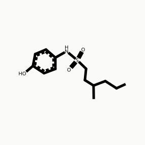 CCCC(C)CCS(=O)(=O)Nc1ccc(O)cc1